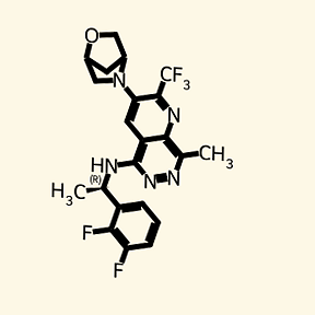 Cc1nnc(N[C@H](C)c2cccc(F)c2F)c2cc(N3CC4CC3CO4)c(C(F)(F)F)nc12